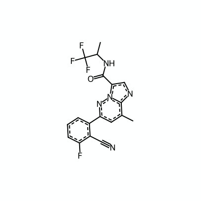 Cc1cc(-c2cccc(F)c2C#N)nn2c(C(=O)NC(C)C(F)(F)F)cnc12